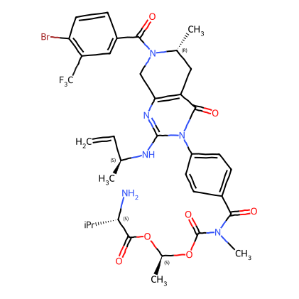 C=C[C@H](C)Nc1nc2c(c(=O)n1-c1ccc(C(=O)N(C)C(=O)O[C@@H](C)OC(=O)[C@@H](N)C(C)C)cc1)C[C@@H](C)N(C(=O)c1ccc(Br)c(C(F)(F)F)c1)C2